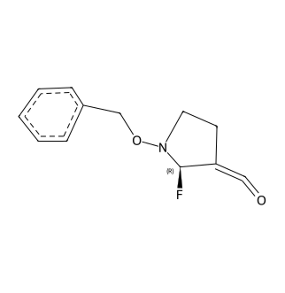 O=C=C1CCN(OCc2ccccc2)[C@@H]1F